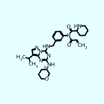 C=CC(=O)N(C(=O)C1CCCCN1)c1cccc(CNc2nc(N[C@@H]3CCCOC3)nc3c(C(C)C)cnn23)c1